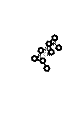 N#Cc1c(-n2c3ccccc3c3cc(-c4ccccc4)ccc32)cccc1-n1c2ccccc2c2c1ccc1c3ccccc3n(-c3ccccc3)c12